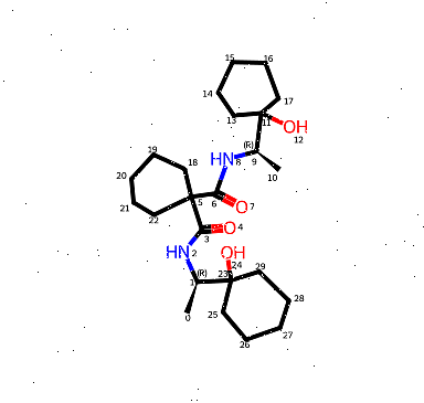 C[C@@H](NC(=O)C1(C(=O)N[C@H](C)C2(O)CCCCC2)CCCCC1)C1(O)CCCCC1